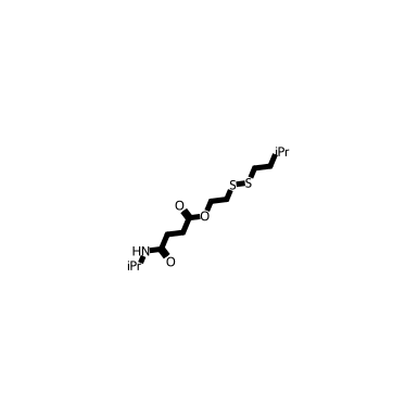 CC(C)CCSSCCOC(=O)CCC(=O)NC(C)C